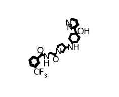 O=C(NCC(=O)N1CCC(NC2CCC(O)(c3cccnn3)CC2)C1)c1cccc(C(F)(F)F)c1